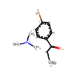 CN(C)C=O.COCC(=O)c1ccc(S)cc1